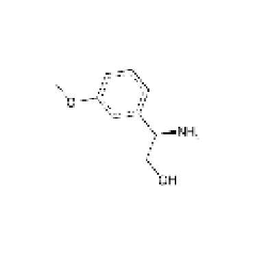 COc1cccc([C@@H](N)CO)c1